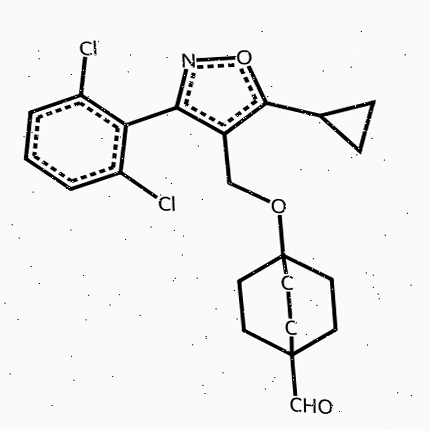 O=CC12CCC(OCc3c(-c4c(Cl)cccc4Cl)noc3C3CC3)(CC1)CC2